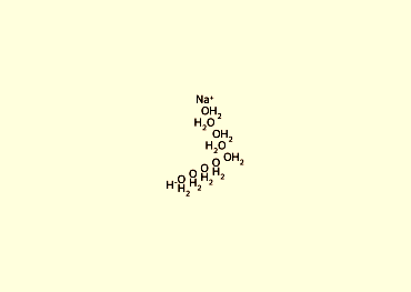 O.O.O.O.O.O.O.O.O.[H-].[Na+]